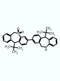 CC(C)(C)C1c2ccc(-c3ccc4c(c3)S(=O)(=O)Cc3ccccc3C4C(C)(C)C)cc2CNc2ccccc21